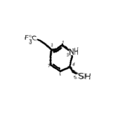 FC(F)(F)C1=CNC(S)C=C1